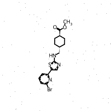 COC(=O)[C@H]1CC[C@H](CNc2ncc(-c3cccc(Br)n3)s2)CC1